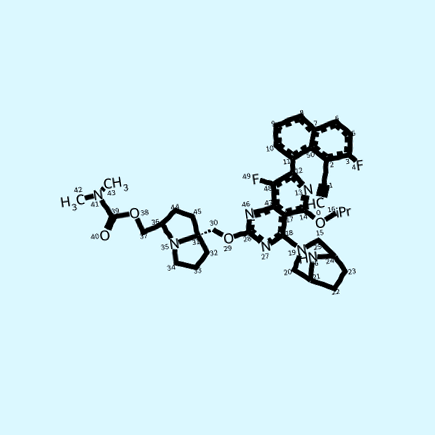 C#Cc1c(F)ccc2cccc(-c3nc(OC(C)C)c4c(N5CC6CCC(C5)N6)nc(OC[C@]56CCCN5C(COC(=O)N(C)C)CC6)nc4c3F)c12